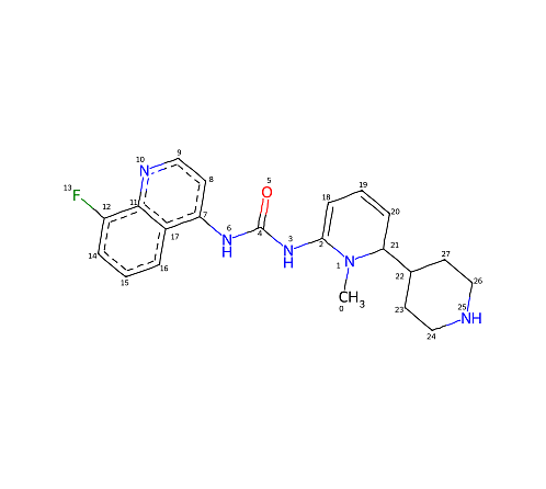 CN1C(NC(=O)Nc2ccnc3c(F)cccc23)=CC=CC1C1CCNCC1